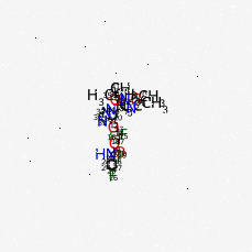 CC(C)(C)Oc1ncc(-c2cc(OCC(F)(F)COC(=O)Nc3ccc(F)cc3F)c3nccn3n2)c(OC(C)(C)C)n1